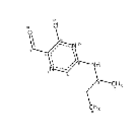 CCC(C)Nc1cnc(C=O)c(Cl)n1